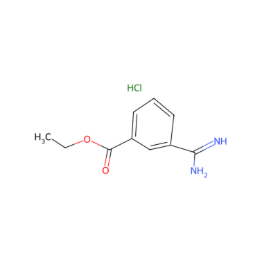 CCOC(=O)c1cccc(C(=N)N)c1.Cl